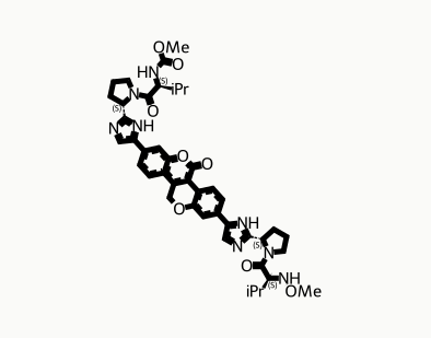 CON[C@H](C(=O)N1CCC[C@H]1c1ncc(-c2ccc3c(c2)OCc2c-3c(=O)oc3cc(-c4cnc([C@@H]5CCCN5C(=O)[C@@H](NC(=O)OC)C(C)C)[nH]4)ccc23)[nH]1)C(C)C